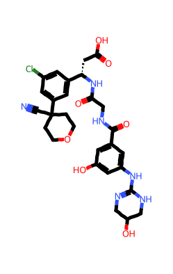 N#CC1(c2cc(Cl)cc([C@H](CC(=O)O)NC(=O)CNC(=O)c3cc(O)cc(NC4=NCC(O)CN4)c3)c2)CCOCC1